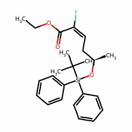 CCOC(=O)/C(F)=C\C[C@@H](C)O[Si](c1ccccc1)(c1ccccc1)C(C)(C)C